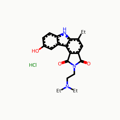 CCc1cc2c(c3c1[nH]c1ccc(O)cc13)C(=O)N(CCN(CC)CC)C2=O.Cl